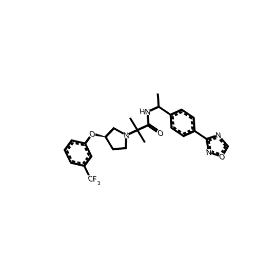 CC(NC(=O)C(C)(C)N1CC[C@@H](Oc2cccc(C(F)(F)F)c2)C1)c1ccc(-c2ncon2)cc1